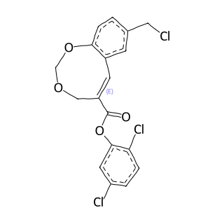 O=C(Oc1cc(Cl)ccc1Cl)/C1=C/c2cc(CCl)ccc2OCOC1